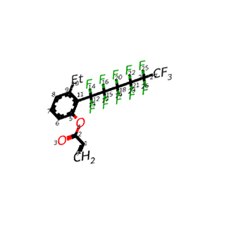 C=CC(=O)Oc1cccc(CC)c1C(F)(F)C(F)(F)C(F)(F)C(F)(F)C(F)(F)C(F)(F)F